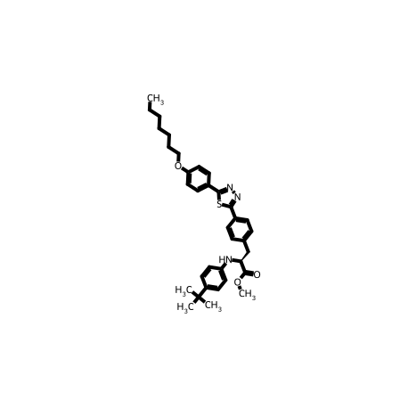 CCCCCCCOc1ccc(-c2nnc(-c3ccc(C[C@H](Nc4ccc(C(C)(C)C)cc4)C(=O)OC)cc3)s2)cc1